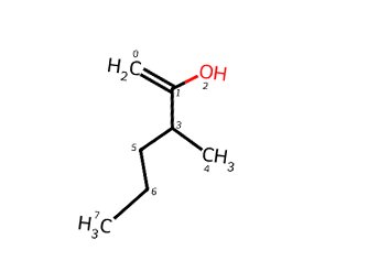 C=C(O)C(C)CCC